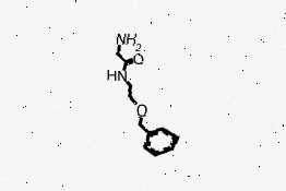 NCC(=O)NCCOCc1ccccc1